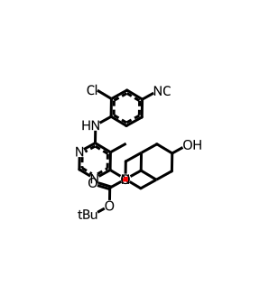 [C-]#[N+]c1ccc(Nc2ncnc(OC3C4CC(O)CC3CN(C(=O)OC(C)(C)C)C4)c2C)c(Cl)c1